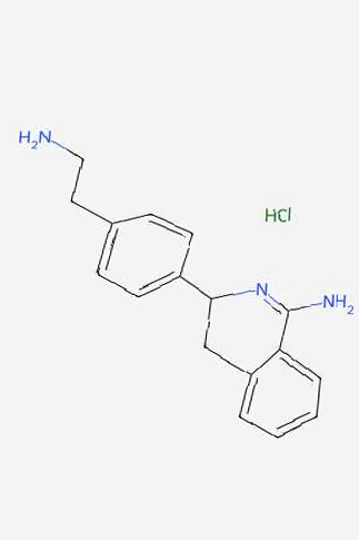 Cl.NCCc1ccc(C2Cc3ccccc3C(N)=N2)cc1